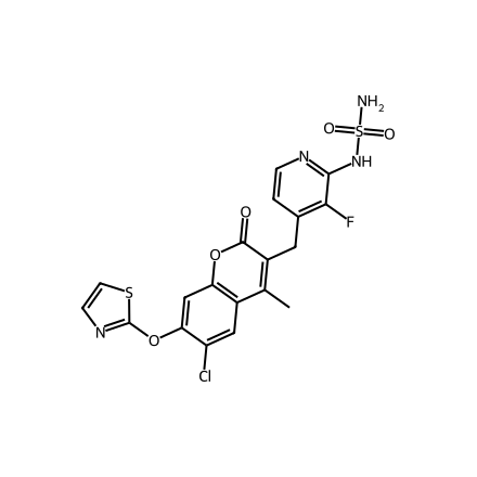 Cc1c(Cc2ccnc(NS(N)(=O)=O)c2F)c(=O)oc2cc(Oc3nccs3)c(Cl)cc12